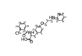 O=C(N[C@@H](Cc1ccc(OCCCNc2ccccn2)cc1)C(=O)O)c1ccccc1Cl